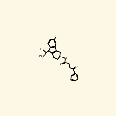 CCC(C(=O)O)n1c2c(c3cc(F)ccc31)C[C@@H](NC(=O)CCC(=O)c1ccccc1)CC2